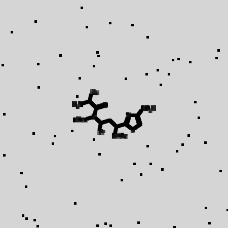 CCCCCCN(C(=O)C(N)C(C)CC)C(CC(NC(C)=O)c1nc(C(=O)O)cs1)C(C)C